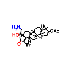 CC(=O)O[C@H]1CC[C@@]2(C)[C@H](CC[C@]3(C)[C@@H]2CC[C@@H]2C4=C(C(C)C)C(=O)C[C@]4([C@H](O)CN)CC[C@]23C)C1(C)C